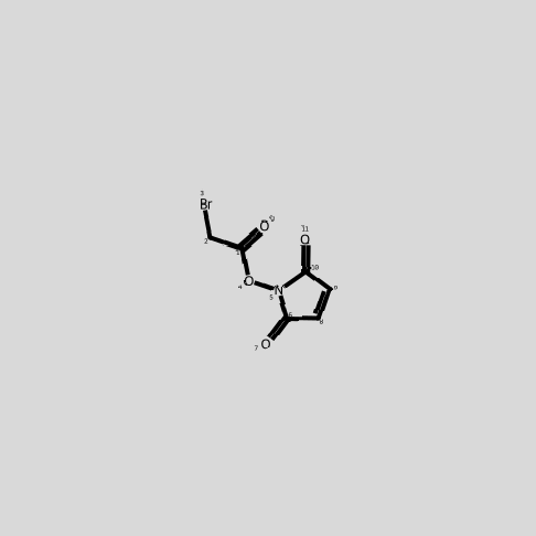 O=C(CBr)ON1C(=O)C=CC1=O